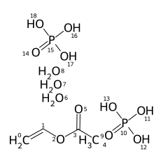 C=COC(C)=O.O.O.O.O=P(O)(O)O.O=P(O)(O)O